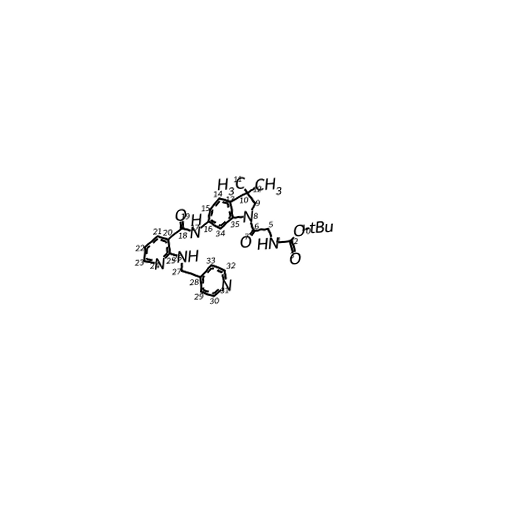 CC(C)(C)OC(=O)NCC(=O)N1CC(C)(C)c2ccc(NC(=O)c3cccnc3NCc3ccncc3)cc21